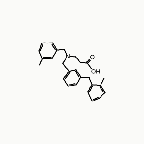 Cc1cccc(CN(CCC(=O)O)Cc2cccc(Cc3ccccc3C)c2)c1